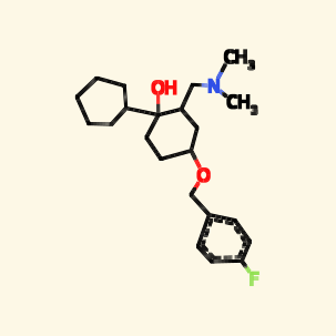 CN(C)CC1CC(OCc2ccc(F)cc2)CCC1(O)C1CCCCC1